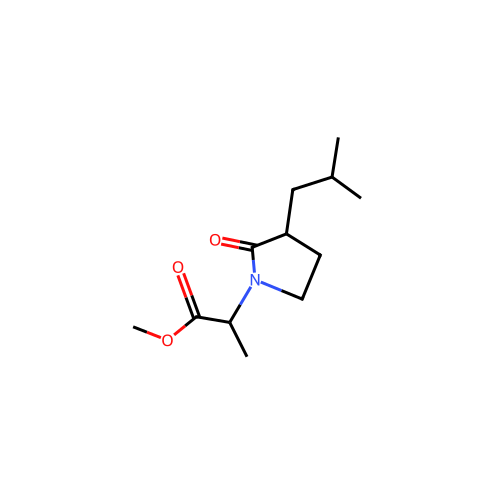 COC(=O)C(C)N1CCC(CC(C)C)C1=O